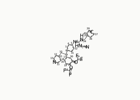 N#CNC(=Nc1ccc(C(Cc2ccncc2)c2ccc(OC(F)F)c(OC(F)F)c2)cc1)NCc1ccccc1